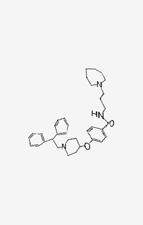 O=C(NCCCN1CCCCCC1)c1ccc(OC2CCN(CC(c3ccccc3)c3ccccc3)CC2)cc1